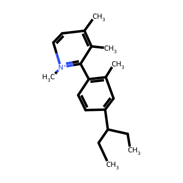 CCC(CC)c1ccc(-c2c(C)c(C)cc[n+]2C)c(C)c1